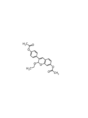 CCOC1Oc2cc(OC(C)=O)ccc2C=C1c1ccc(OC(C)=O)cc1